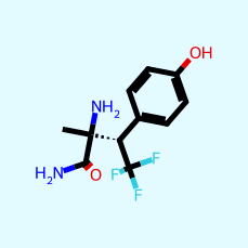 CC(N)(C(N)=O)[C@H](c1ccc(O)cc1)C(F)(F)F